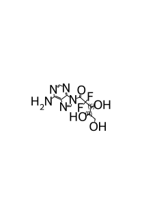 Nc1ncnc2c1ncn2C(=O)C(F)(F)[C@@H](O)[C@H](O)CO